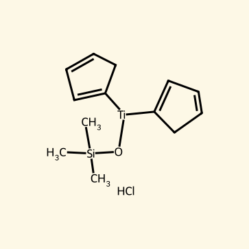 C[Si](C)(C)[O][Ti]([C]1=CC=CC1)[C]1=CC=CC1.Cl